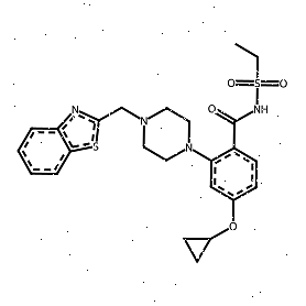 CCS(=O)(=O)NC(=O)c1ccc(OC2CC2)cc1N1CCN(Cc2nc3ccccc3s2)CC1